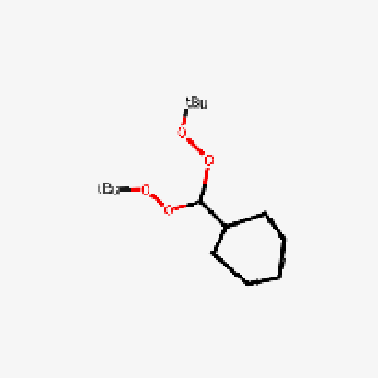 CC(C)(C)OOC(OOC(C)(C)C)C1CCCCC1